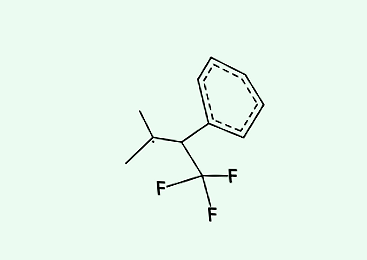 C[C](C)C(c1ccccc1)C(F)(F)F